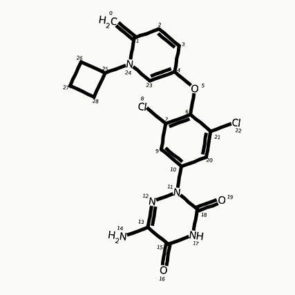 C=C1C=CC(Oc2c(Cl)cc(-n3nc(N)c(=O)[nH]c3=O)cc2Cl)=CN1C1CCC1